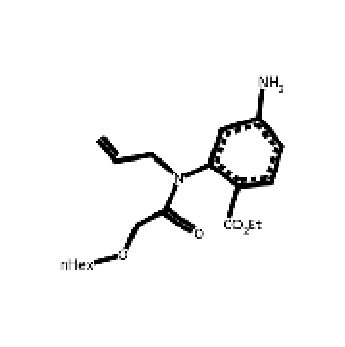 C=CCN(C(=O)COCCCCCC)c1cc(N)ccc1C(=O)OCC